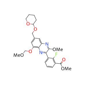 COCOc1cc(COC2CCCCO2)cc2nc(OC)c(-c3cccc(C(=O)OC)c3F)nc12